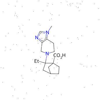 CCC1(N2CCc3c(ncn3C)C2)CC2CCC1(C(=O)O)C2